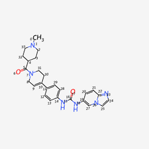 CN1CCC(C(=O)N2CC=C(c3ccc(NC(=O)Nc4ccc5nccn5c4)cc3)CC2)CC1